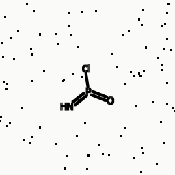 N=P(=O)Cl